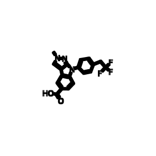 Cn1cc2c3cc(C(=O)O)ccc3n(-c3ccc(CC(F)(F)F)cc3)c2n1